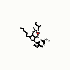 CCCCCC1OC(n2cnc3cnc(N)nc32)C(OC)C1OP(=O)(O)OC(C)CC